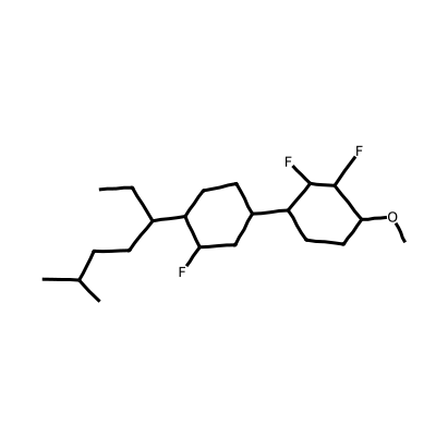 CCC(CCC(C)C)C1CCC(C2CCC(OC)C(F)C2F)CC1F